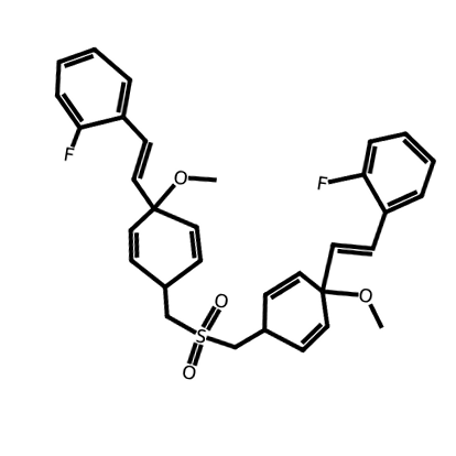 COC1(/C=C/c2ccccc2F)C=CC(CS(=O)(=O)CC2C=CC(/C=C/c3ccccc3F)(OC)C=C2)C=C1